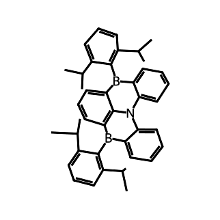 CC(C)c1cccc(C(C)C)c1B1c2ccccc2N2c3ccccc3B(c3c(C(C)C)cccc3C(C)C)c3cccc1c32